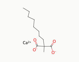 CCCCCCCCC(C)(C(=O)[O-])C(=O)[O-].[Ca+2]